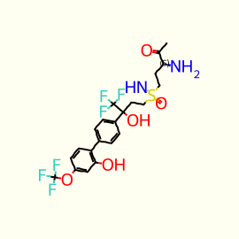 CC(=O)[C@@H](N)CCS(=N)(=O)CCC(O)(c1ccc(-c2ccc(OC(F)(F)F)cc2O)cc1)C(F)(F)F